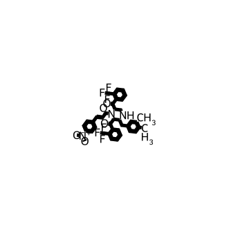 Cc1ccc(CC2NCC(C(=O)c3ccccc3C(F)(F)F)N(C(=O)/C=C/c3ccc([N+](=O)[O-])cc3)C2C(=O)c2ccccc2C(F)(F)F)cc1C